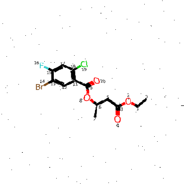 CCOC(=O)C[C@@H](C)OC(=O)c1cc(Br)c(F)cc1Cl